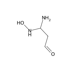 NC(CC=O)NO